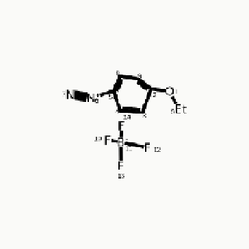 CCOc1ccc([N+]#N)cc1.F[B-](F)(F)F